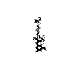 CCc1cc(C)cc2c1O[C@H](C(F)(F)F)C(C(=O)OCCOCCO[N+](=O)[O-])=C2